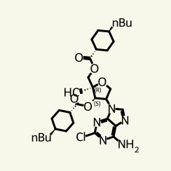 C#C[C@]1(COC(=O)[C@H]2CC[C@H](CCCC)CC2)OCC(n2cnc3c(N)nc(Cl)nc32)[C@@H]1OC(=O)[C@H]1CC[C@H](CCCC)CC1